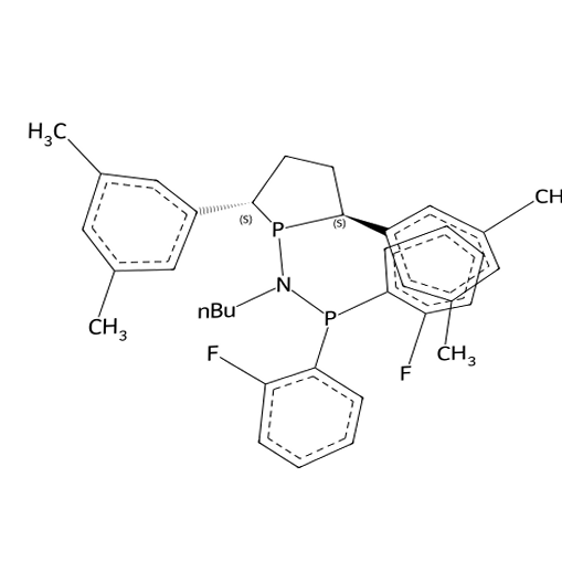 CCCCN(P(c1ccccc1F)c1ccccc1F)P1[C@H](c2cc(C)cc(C)c2)CC[C@H]1c1cc(C)cc(C)c1